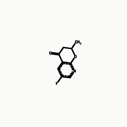 CC1CC(=O)c2cc(F)cnc2O1